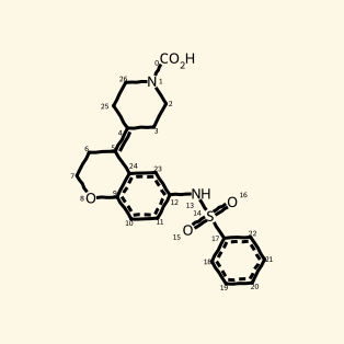 O=C(O)N1CCC(=C2CCOc3ccc(NS(=O)(=O)c4ccccc4)cc32)CC1